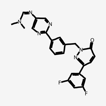 CN(C)/C=N\c1cnc(-c2cccc(Cn3nc(-c4cc(F)cc(F)c4)ccc3=O)c2)nc1